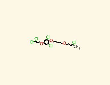 FC(F)(F)C(Cl)=CCCOCCCCCOc1c(Cl)cc(OCC=C(Cl)Cl)cc1Cl